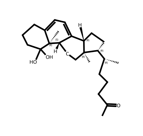 CC(=O)CCC[C@@H](C)[C@H]1CC[C@H]2C3=CC=C4CCCC(O)(O)[C@]4(C)[C@H]3CC[C@]12C